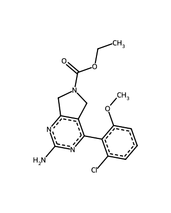 CCOC(=O)N1Cc2nc(N)nc(-c3c(Cl)cccc3OC)c2C1